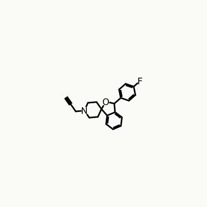 C#CCN1CCC2(CC1)OC(c1ccc(F)cc1)c1ccccc12